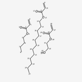 C=CC(=O)OCCCC.C=CC(=O)OCCCCCCCCCCCC.C=CC(=O)OCCO